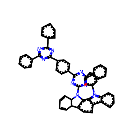 C1=CC2c3ccc4c5ccccc5n(-c5ccccc5)c4c3N(c3nc(-c4ccccc4)nc(-c4ccc(-c5nc(-c6ccccc6)nc(-c6ccccc6)n5)cc4)n3)C2C=C1